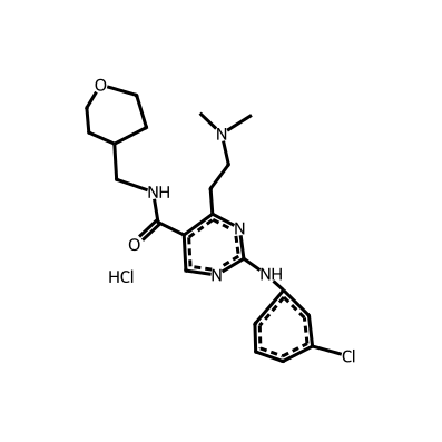 CN(C)CCc1nc(Nc2cccc(Cl)c2)ncc1C(=O)NCC1CCOCC1.Cl